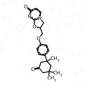 CC1(C)CC(=O)CC(C)(c2ccc(OCC3Cn4ccc(=O)nc4O3)cc2)C1